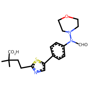 CC(C)(CCc1ncc(-c2ccc(N(C=O)N3CCOCC3)cc2)s1)C(=O)O